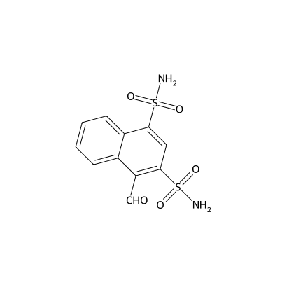 NS(=O)(=O)c1cc(S(N)(=O)=O)c2ccccc2c1C=O